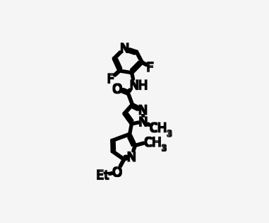 CCOc1ccc(-c2cc(C(=O)Nc3c(F)cncc3F)nn2C)c(C)n1